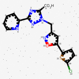 O=C(O)c1nc(-c2ccccn2)nn1Cc1cc(-c2ccc(Cl)s2)on1